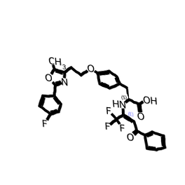 Cc1oc(-c2ccc(F)cc2)nc1CCOc1ccc(C[C@H](N/C(=C/C(=O)c2ccccc2)C(F)(F)F)C(=O)O)cc1